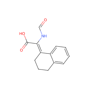 O=CNC(C(=O)O)=C1CCCc2ccccc21